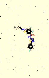 CCCNSc1cc(F)c(F)c(C(=O)Nc2nnc(-c3ccc(F)cc3)s2)c1